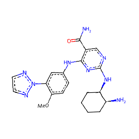 COc1ccc(Nc2nc(N[C@@H]3CCCC[C@@H]3N)ncc2C(N)=O)cc1-n1nccn1